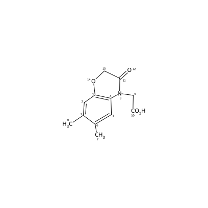 Cc1cc2c(cc1C)N(CC(=O)O)C(=O)CO2